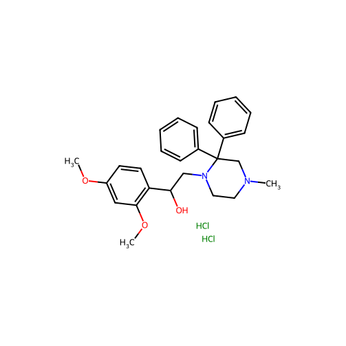 COc1ccc(C(O)CN2CCN(C)CC2(c2ccccc2)c2ccccc2)c(OC)c1.Cl.Cl